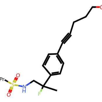 CC(C)S(=O)(=O)NCC(C)(F)c1ccc(C#CCCCO)cc1